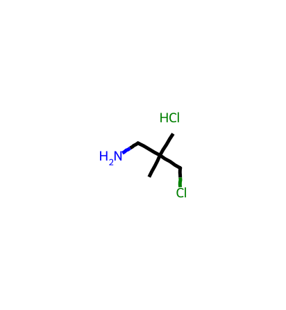 CC(C)(CN)CCl.Cl